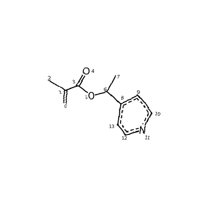 C=C(C)C(=O)OC(C)c1ccncc1